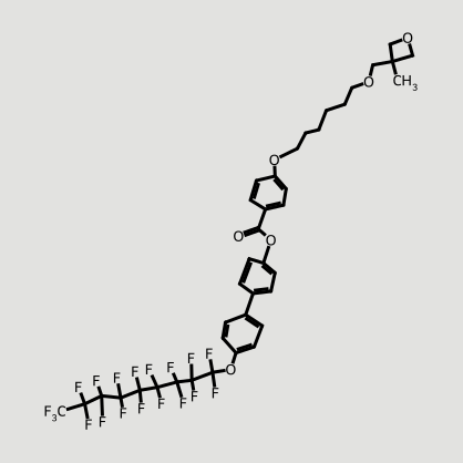 CC1(COCCCCCCOc2ccc(C(=O)Oc3ccc(-c4ccc(OC(F)(F)C(F)(F)C(F)(F)C(F)(F)C(F)(F)C(F)(F)C(F)(F)C(F)(F)C(F)(F)F)cc4)cc3)cc2)COC1